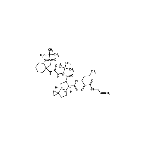 C=CCNC(=O)C(=O)C(CCC)NC(=O)[C@@H]1[C@H]2CCC3(CC3)[C@H]2CN1C(=O)[C@@H](NC(=O)NC1(CS(=O)(=O)C(C)(C)C)CCCCC1)C(C)(C)C